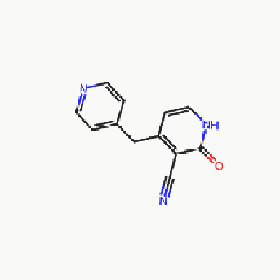 N#Cc1c(Cc2ccncc2)cc[nH]c1=O